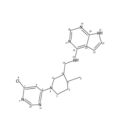 CC1CCN(c2cc(Cl)ncn2)CC1CNc1ncnc2[nH]ccc12